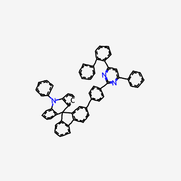 c1ccc(-c2cc(-c3ccccc3-c3ccccc3)nc(-c3ccc(-c4ccc5c(c4)C4(c6ccccc6-5)c5ccccc5N(c5ccccc5)c5ccccc54)cc3)n2)cc1